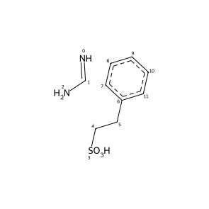 N=CN.O=S(=O)(O)CCc1ccccc1